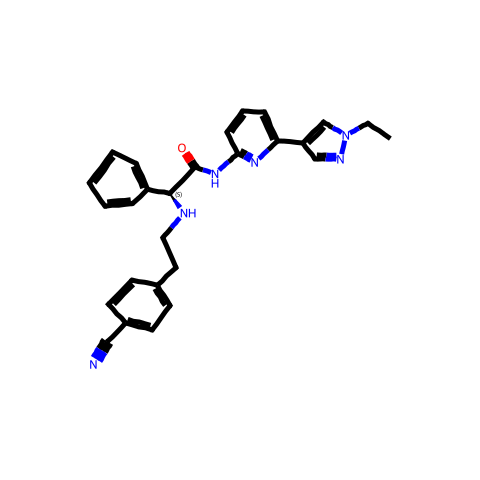 CCn1cc(-c2cccc(NC(=O)[C@@H](NCCc3ccc(C#N)cc3)c3ccccc3)n2)cn1